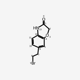 O=C1COc2cc(CCBr)ccc2N1